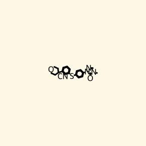 Cn1cnn(-c2ccc(Sc3cccc(C4(C#N)CCOCC4)c3)cc2)c1=O